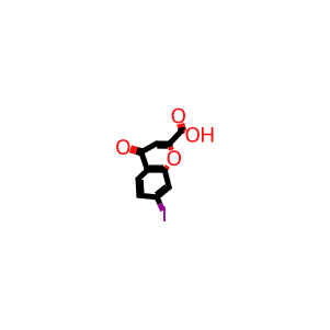 O=C(O)c1cc(=O)c2ccc(I)cc2o1